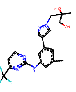 Cc1cc(Nc2nccc(C(F)(F)F)n2)cc(-c2cnn(CC(C)(O)CO)c2)c1